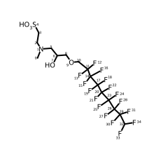 CN(CCS(=O)(=O)O)CC(O)COCC(F)(F)C(F)(F)C(F)(F)C(F)(F)C(F)(F)C(F)(F)C(F)(F)C(F)F